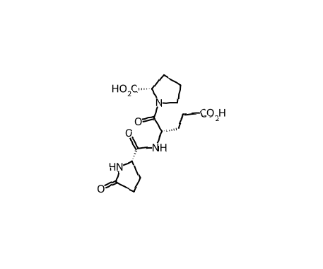 O=C(O)CC[C@H](NC(=O)[C@@H]1CCC(=O)N1)C(=O)N1CCC[C@H]1C(=O)O